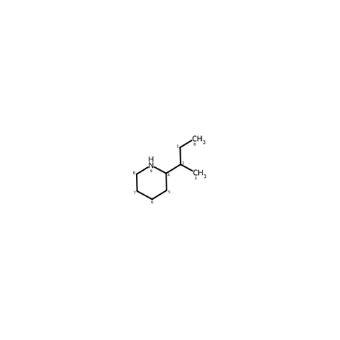 CCC(C)C1CCCCN1